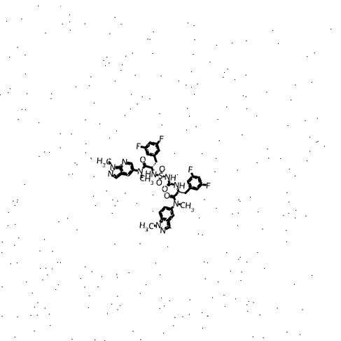 CN(C(=O)[C@H](Cc1cc(F)cc(F)c1)NC(=O)NS(=O)(=O)N[C@@H](Cc1cc(F)cc(F)c1)C(=O)N(C)c1cnc2c(cnn2C)c1)c1ccc2c(cnn2C)c1